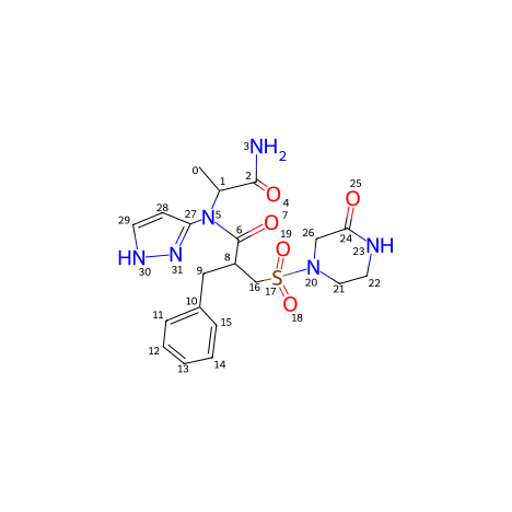 CC(C(N)=O)N(C(=O)C(Cc1ccccc1)CS(=O)(=O)N1CCNC(=O)C1)c1cc[nH]n1